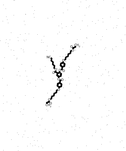 C=CC(=O)OCCCCCCOc1ccc(C(=O)Oc2ccc(OC(=O)c3ccc(OCCCCCCOC(=O)C=C)cc3)c(C(=O)OCCCCCCC#N)c2)cc1